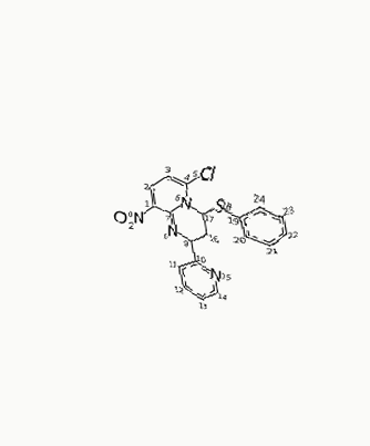 O=[N+]([O-])C1=CC=C(Cl)N2C1=NC(c1ccccn1)CC2Sc1ccccc1